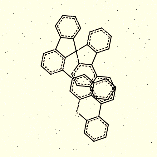 c1ccc2c(c1)Sc1cc(-c3cccc4c3C3(c5ccccc5-4)c4ccccc4-c4c3ccc3ccccc43)cc3cccc-2c13